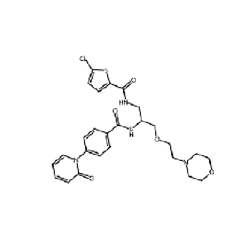 O=C(NC(CNC(=O)c1ccc(Cl)s1)COCCN1CCOCC1)c1ccc(-n2ccccc2=O)cc1